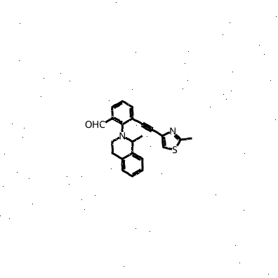 Cc1nc(C#Cc2cccc(C=O)c2N2CCc3ccccc3C2C)cs1